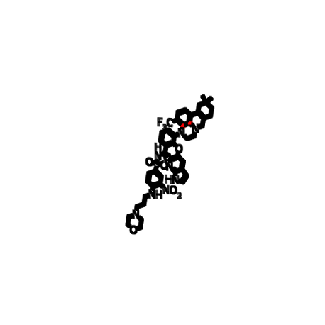 CC1(C)CCC(CN2CCN(c3cccc(C(=O)NS(=O)(=O)c4ccc(NCCCN5CCOCC5)c([N+](=O)[O-])c4)c3Oc3cnc4[nH]ccc4c3)CC2)=C(c2ccc(C(F)(F)F)cc2)C1